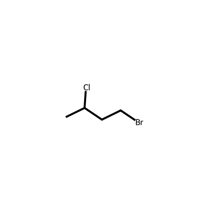 CC(Cl)CCBr